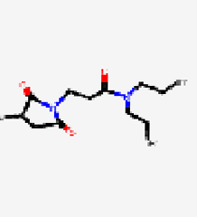 CCC(C)C1CC(=O)N(CCC(=O)N(CCC(C)C)CCC(C)C)C1=O